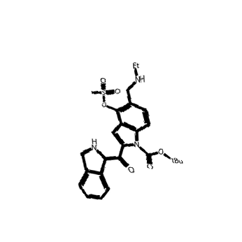 CCNCc1ccc2c(cc(C(=O)C3NCc4ccccc43)n2C(=O)OC(C)(C)C)c1OS(C)(=O)=O